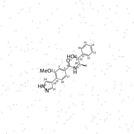 COc1cc(C(=O)N[C@H](C)[C@@H](O)c2ccccc2)ccc1-c1cn[nH]c1